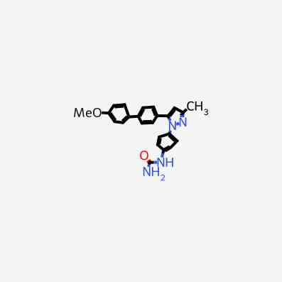 COc1ccc(-c2ccc(-c3cc(C)nn3-c3ccc(NC(N)=O)cc3)cc2)cc1